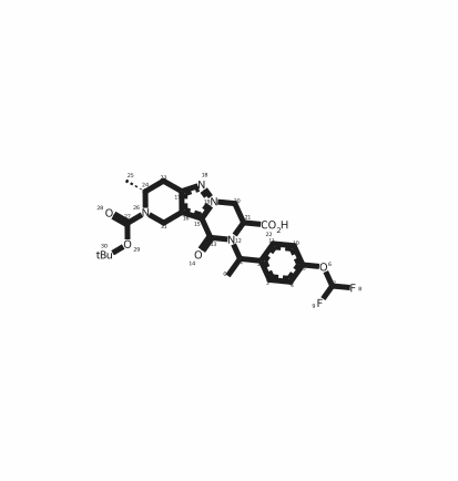 CC(c1ccc(OC(F)F)cc1)N1C(=O)c2c3c(nn2CC1C(=O)O)C[C@@H](C)N(C(=O)OC(C)(C)C)C3